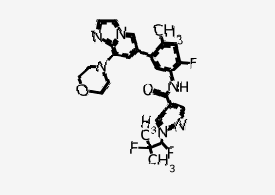 Cc1cc(F)c(NC(=O)c2cnn(C(F)C(C)(C)F)c2)cc1-c1cc(N2CCOCC2)c2nccn2c1